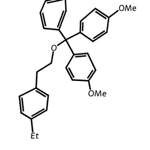 [CH2]Cc1ccc(CCOC(c2ccccc2)(c2ccc(OC)cc2)c2ccc(OC)cc2)cc1